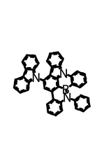 c1ccc(N2B3c4ccccc4-n4c5ccccc5c5c(-n6c7ccccc7c7ccccc76)cc(c3c54)-c3ccccc32)cc1